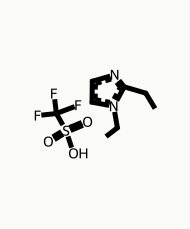 CCc1nccn1CC.O=S(=O)(O)C(F)(F)F